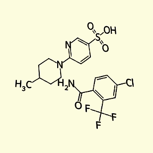 CC1CCN(c2ccc(S(=O)(=O)O)cn2)CC1.NC(=O)c1ccc(Cl)cc1C(F)(F)F